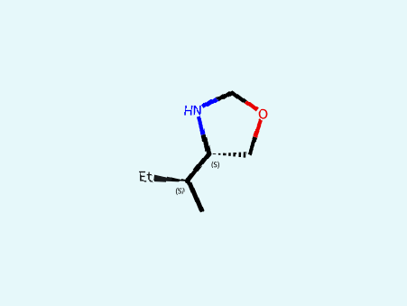 CC[C@H](C)[C@H]1COCN1